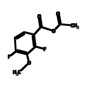 COc1c(F)ccc(C(=O)OC(C)=O)c1F